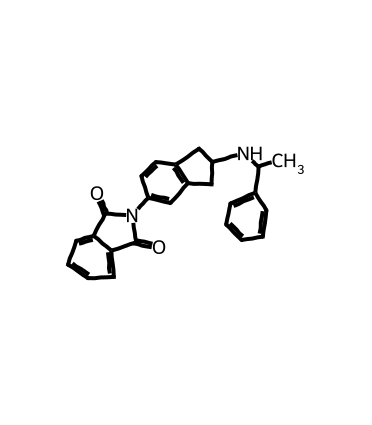 CC(NC1Cc2ccc(N3C(=O)c4ccccc4C3=O)cc2C1)c1ccccc1